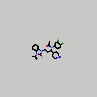 C=C(C)n1c(=O)n(CCC(C2CCNCC2)N(C(C)=O)c2ccc(Cl)c(Cl)c2)c2ccccc21